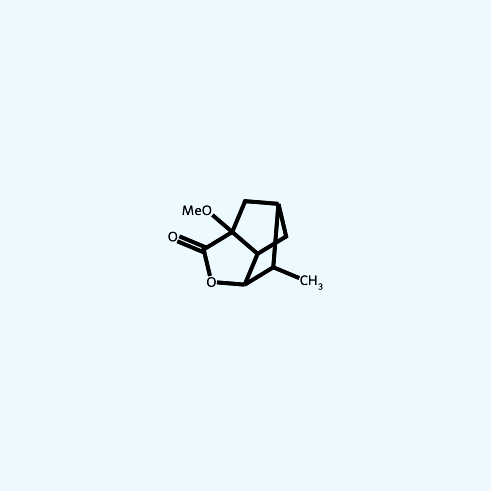 COC12CC3CC1C(OC2=O)C3C